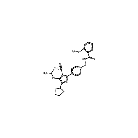 COc1ccccc1C(=O)NCc1ccc(-c2nn(C3CCCC3)c(NC(C)C)c2C#N)cc1